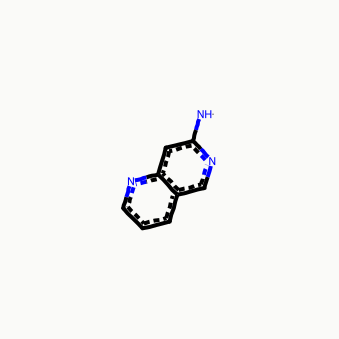 [NH]c1cc2ncccc2cn1